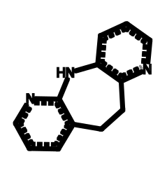 c1cnc2c(c1)CCc1ncccc1N2